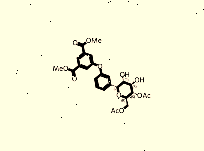 COC(=O)c1cc(Oc2cccc([C@H]3O[C@H](COC(C)=O)[C@@H](OC(C)=O)[C@H](O)[C@H]3O)c2)cc(C(=O)OC)c1